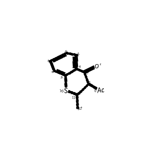 CC(=O)C1C(=O)c2ccccc2SC1C